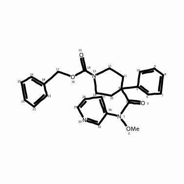 CON(C(=O)C1(c2ccccc2)CCN(C(=O)OCc2ccccc2)CC1)c1cccnc1